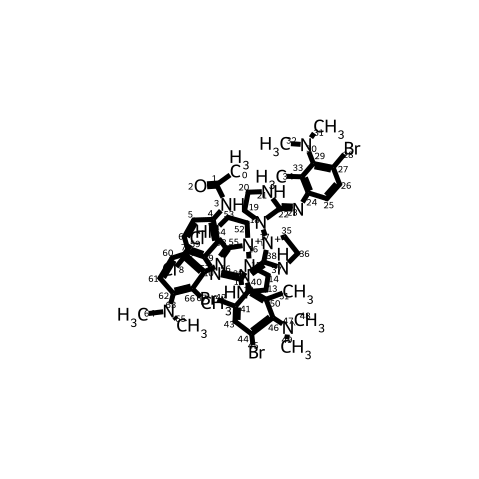 CC(=O)Nc1ccc(Cl)c(N=C2NCCN2[N+]2([N+]3(N4CCNC4=Nc4ccc(Br)c(N(C)C)c4C)CCNC3=Nc3c(Br)cc(Br)c(N(C)C)c3C)CCNC2=Nc2c(Cl)ccc(N(C)C)c2C)c1